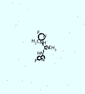 C=C1/C=C\C(F)=C/C/N=C\C=C/1NCC[C@@H]1CN(C)C[C@@H]1CCNc1ccnc2cc(F)ccc12